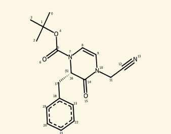 CC(C)(C)OC(=O)N1C=CN(CC#N)C(=O)[C@@H]1Cc1ccccc1